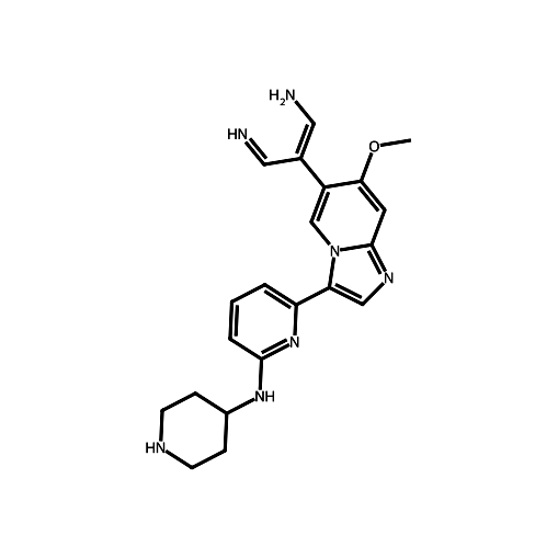 COc1cc2ncc(-c3cccc(NC4CCNCC4)n3)n2cc1/C(C=N)=C/N